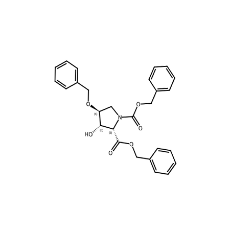 O=C(OCc1ccccc1)[C@@H]1[C@H](O)[C@@H](OCc2ccccc2)CN1C(=O)OCc1ccccc1